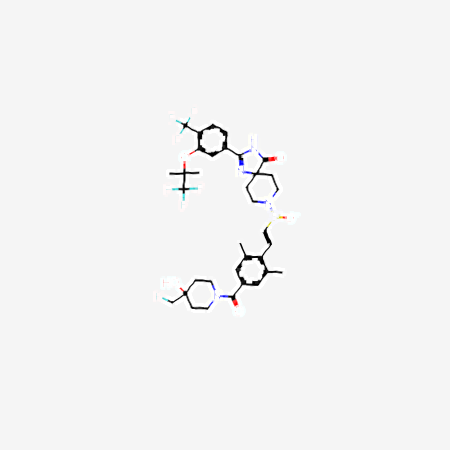 Cc1cc(C(=O)N2CCC(O)(CF)CC2)cc(C)c1/C=C/[S+]([O-])N1CCC2(CC1)N=C(c1ccc(C(F)(F)F)c(OC(C)(C)C(F)(F)F)c1)NC2=O